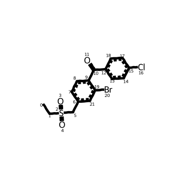 CCS(=O)(=O)Cc1ccc(C(=O)c2ccc(Cl)cc2)c(Br)c1